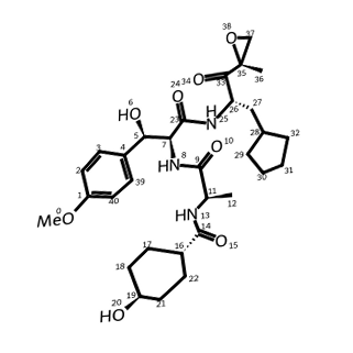 COc1ccc([C@@H](O)[C@H](NC(=O)[C@@H](C)NC(=O)[C@H]2CC[C@H](O)CC2)C(=O)N[C@@H](CC2CCCC2)C(=O)[C@@]2(C)CO2)cc1